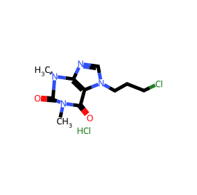 Cl.Cn1c(=O)c2c(ncn2CCCCl)n(C)c1=O